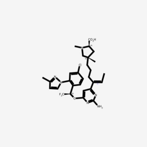 C/C=C(\CCC[C@@]1(C)C[C@H](C(=O)O)N(C)C1)c1cc(O[C@H](c2ccc(Cl)cc2-n2ccc(C)n2)C(F)(F)F)nc(N)n1